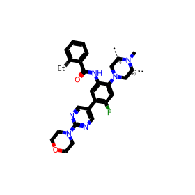 CCc1ccccc1C(=O)Nc1cc(-c2cnc(N3CCOCC3)nc2)c(F)cc1N1C[C@@H](C)N(C)[C@@H](C)C1